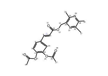 CC(=O)Oc1ccc(/C=C/C(=O)OCc2nc(C)c(C)nc2C)cc1OC(C)=O